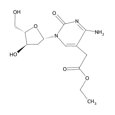 CCOC(=O)Cc1cn([C@@H]2C[C@@H](O)[C@H](CO)O2)c(=O)nc1N